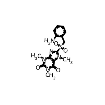 Cn1c(=O)c2c(nc(S(=O)(=O)Cc3ccccc3N)n2C)n(C)c1=O